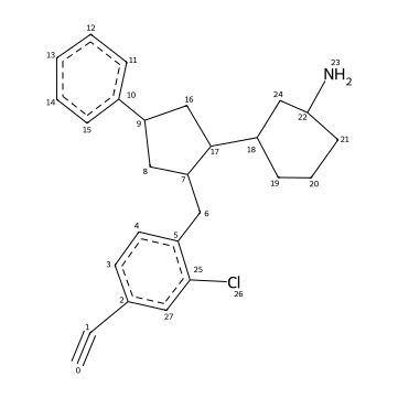 C#Cc1ccc(CC2CC(c3ccccc3)CC2C2CCCC(N)C2)c(Cl)c1